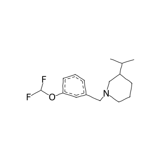 CC(C)C1CCCN(Cc2cccc(OC(F)F)c2)C1